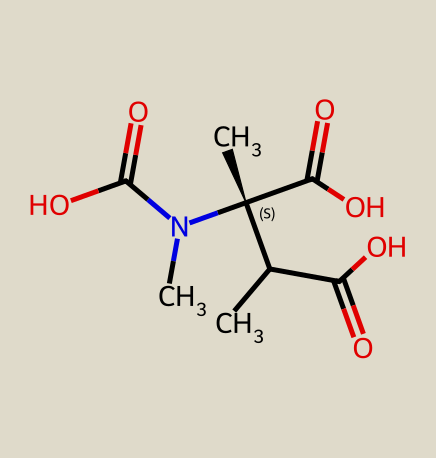 CC(C(=O)O)[C@@](C)(C(=O)O)N(C)C(=O)O